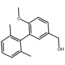 COc1ccc(CO)cc1-c1c(C)cccc1C